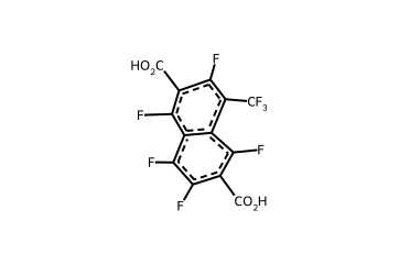 O=C(O)c1c(F)c(C(F)(F)F)c2c(F)c(C(=O)O)c(F)c(F)c2c1F